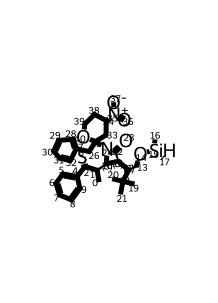 CC(C(=S)c1ccccc1)[C@@H]1[C@H]([C@@H](CO[SiH](C)C)C(C)(C)C)C(=O)N1C1(Cc2ccccc2)CC([N+](=O)[O-])CCO1